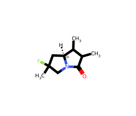 CC1C(=O)N2CC(C)(F)C[C@H]2C1C